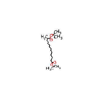 CC(C)OC(=O)CCCCCCCCCCCC(C)C(=O)OC(C)C